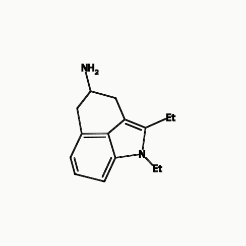 CCc1c2c3c(cccc3n1CC)CC(N)C2